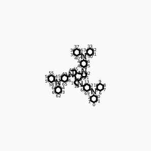 c1ccc(N(c2ccccc2)c2ccc(-n3ccc4c3c3ccn(-c5ccc(N(c6ccccc6)c6ccccc6)cc5)c3c3ccn(-c5ccc(N(c6ccccc6)c6ccccc6)cc5)c43)cc2)cc1